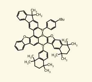 CC(C)(C)c1ccc(N2B3c4oc5cc6c(cc5c4N(c4ccc5c(c4)C(C)(C)CCC5(C)C)c4cc5c(oc7ccccc75)c(c43)-c3cc4c(cc32)C(C)(C)c2ccccc2-4)C(C)(C)CCC6(C)C)cc1